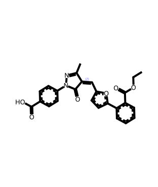 CCOC(=O)c1ccccc1-c1ccc(/C=C2\C(=O)N(c3ccc(C(=O)O)cc3)N=C2C)o1